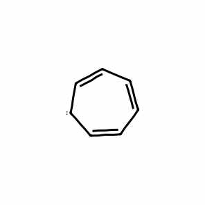 [C]1C=CC=CC=C1